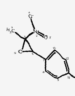 CC1([N+](=O)[O-])OC1c1ccc(Br)cc1